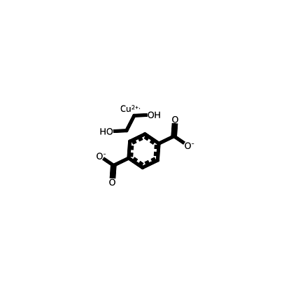 O=C([O-])c1ccc(C(=O)[O-])cc1.OCCO.[Cu+2]